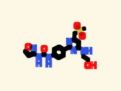 CS(=O)(=O)Cc1cc(NCCO)nc(-c2ccc(NC(=O)Nc3ccon3)cc2)n1